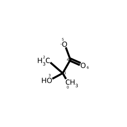 CC(C)(O)C([O])=O